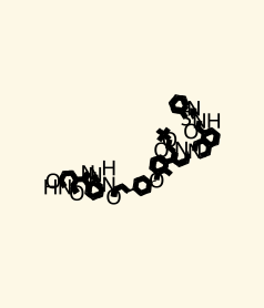 Cc1c(O[C@H]2CC[C@H](CCC(=O)Nc3cccc4c(C5CCC(=O)NC5=O)nn(C)c34)CC2)cccc1-c1ccc(N2CCc3cccc(C(=O)Nc4nc5ccccc5s4)c3C2)nc1C(=O)OC(C)(C)C